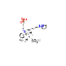 CC1(CCCCS(=O)(=O)O)C(C=CC=CC=CNc2ccccc2)=[N+](CCCCS(=O)(=O)[O-])c2ccc(S(=O)(=O)O)cc21